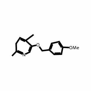 COc1ccc(COC2=CN=C(C)CC=C2C)cc1